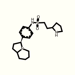 O=S(=O)(CCC1CCCN1)Nc1ccc([C@@H]2CCC3CCCCN32)cc1